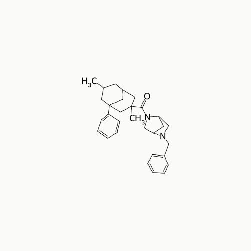 CC1CC2CC(C)(C(=O)N3CC4CC3CN4Cc3ccccc3)CC(c3ccccc3)(C1)C2